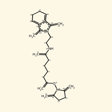 C=C(CCCCC(=C)ON1C(=C)CCC1=C)NCCn1c(=C)c2c(c1=C)=CCCC=2